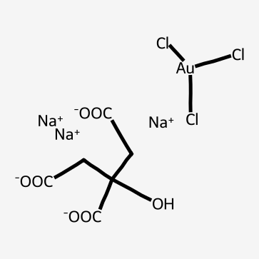 O=C([O-])CC(O)(CC(=O)[O-])C(=O)[O-].[Cl][Au]([Cl])[Cl].[Na+].[Na+].[Na+]